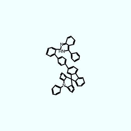 c1ccc(C2=c3ccccc3=NC(c3ccccc3-c3ccc(-c4ccc5c(c4)C4(c6ccccc6-5)c5ccccc5N(c5ccccc5)c5ccccc54)cc3)N2)cc1